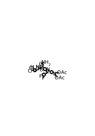 CC(=O)OCCN(CCOC(C)=O)c1ccc(-c2nc3cc(C(CC(N)=O)NC(=O)[C@@H](N)Cc4ccc(Cl)c(Cl)c4)ccc3n2Cc2ccc(F)c(F)c2)cc1